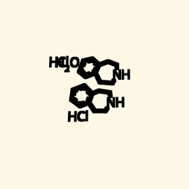 Cl.Cl.O.c1ccc2c(c1)CCNCC2.c1ccc2c(c1)CCNCC2